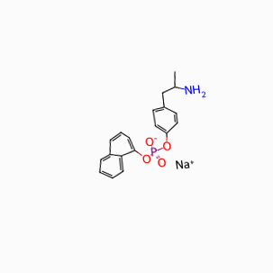 CC(N)Cc1ccc(OP(=O)([O-])Oc2cccc3ccccc23)cc1.[Na+]